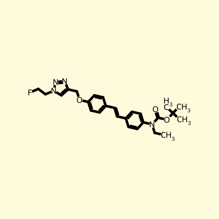 CCN(C(=O)OC(C)(C)C)c1ccc(/C=C/c2ccc(OCc3cn(CCF)nn3)cc2)cc1